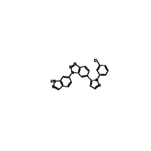 Clc1cccc(-n2nccc2-c2ccc3nnn(-c4ccc5cn[nH]c5c4)c3c2)c1